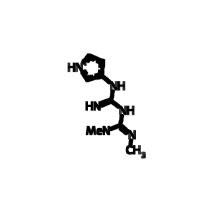 C/N=C(\NC)NC(=N)Nc1cc[nH]c1